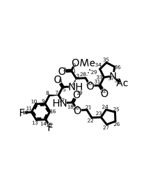 COC(=O)[C@@H](NC(=O)[C@H](Cc1cc(F)cc(F)c1)NC(=O)OCCC1CCCC1)[C@H](C)OC(=O)C1CCCN1C(C)=O